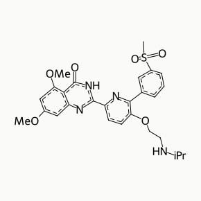 COc1cc(OC)c2c(=O)[nH]c(-c3ccc(OCCNC(C)C)c(-c4cccc(S(C)(=O)=O)c4)n3)nc2c1